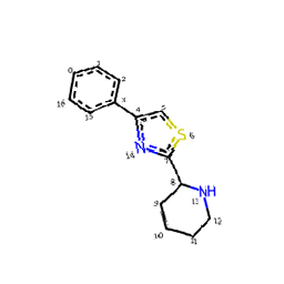 c1ccc(-c2csc(C3CCCCN3)n2)cc1